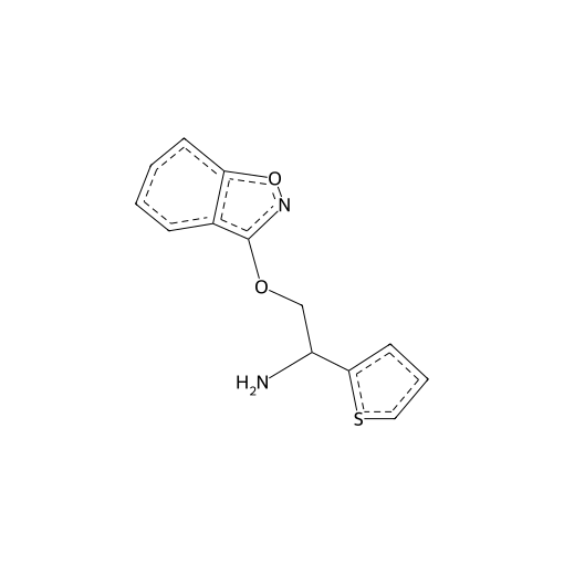 NC(COc1noc2ccccc12)c1cccs1